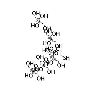 O=C(O)CCS.OC[C@@H](O)[C@@H](O)CO.OC[C@@H](O)[C@@H](O)CO.OC[C@@H](O)[C@@H](O)CO.OC[C@@H](O)[C@@H](O)CO.OC[C@@H](O)[C@@H](O)CO